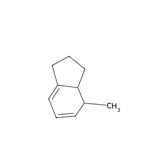 CC1C=CC=C2CCCC21